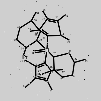 [CH2]=[Ti]([C]1=C(C)C(C)=C(C)C1C)([C]1=C(C)C(C)=C(C)C1C)([CH]1CC(C)CCC1C(C)C)[CH]1CC(C)CCC1C(C)C